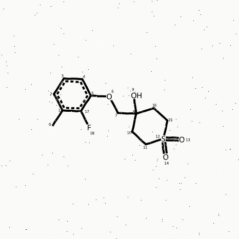 Cc1[c]ccc(OCC2(O)CCS(=O)(=O)CC2)c1F